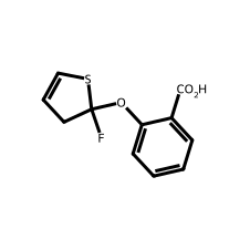 O=C(O)c1ccccc1OC1(F)CC=CS1